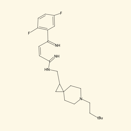 CC(C)(C)CCN1CCC2(CC1)CC2CNC(=N)/C=C\C(=N)c1cc(F)ccc1F